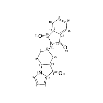 O=C1c2cccn2C2CCC(N3C(=O)c4ccccc4C3=O)CC12